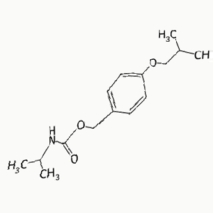 CC(C)COc1ccc(COC(=O)NC(C)C)cc1